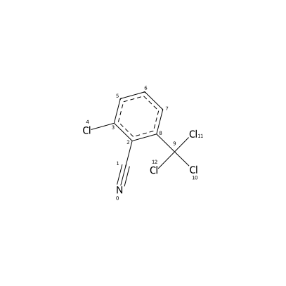 N#Cc1c(Cl)cccc1C(Cl)(Cl)Cl